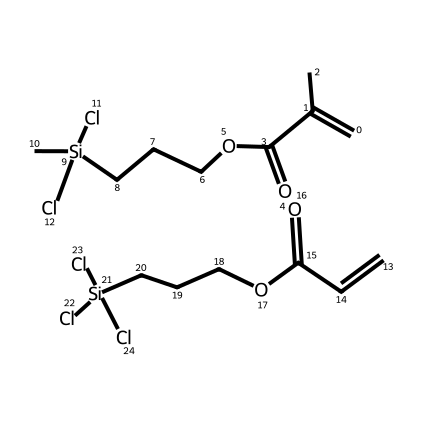 C=C(C)C(=O)OCCC[Si](C)(Cl)Cl.C=CC(=O)OCCC[Si](Cl)(Cl)Cl